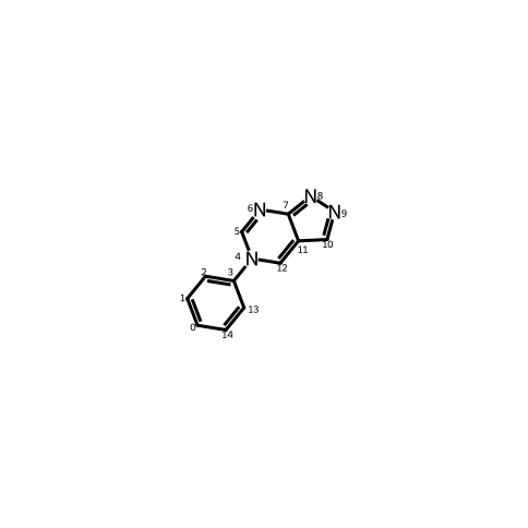 c1ccc(-n2cnc3nncc-3c2)cc1